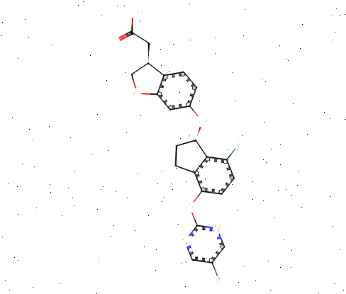 O=C(O)C[C@@H]1COc2cc(O[C@@H]3CCc4c(Oc5ncc(F)cn5)ccc(F)c43)ccc21